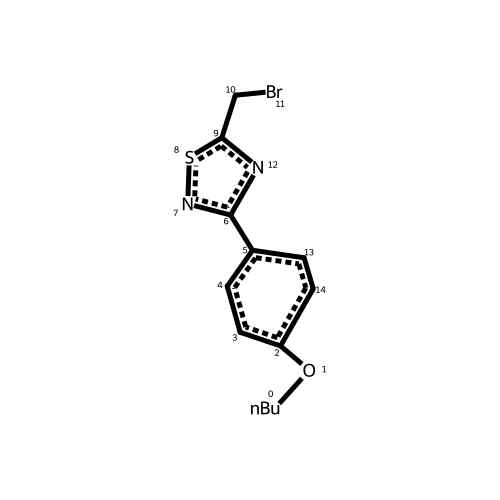 CCCCOc1ccc(-c2nsc(CBr)n2)cc1